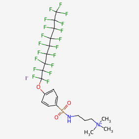 C[N+](C)(C)CCCNS(=O)(=O)c1ccc(OC(F)(F)C(F)(F)C(F)(F)C(F)(F)C(F)(F)C(F)(F)C(F)(F)C(F)(F)C(F)(F)F)cc1.[I-]